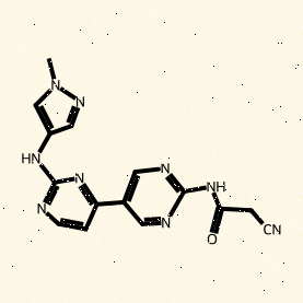 Cn1cc(Nc2nccc(-c3cnc(NC(=O)CC#N)nc3)n2)cn1